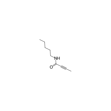 CC#CC(=O)NCCCCC